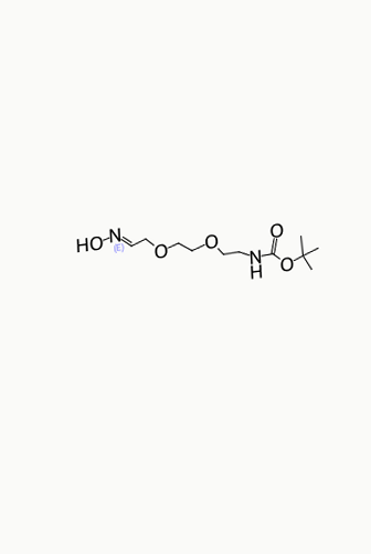 CC(C)(C)OC(=O)NCCOCCOC/C=N/O